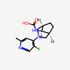 Cc1cc(N2C[C@H]3CC[C@@H](C2)[C@H]3NC(=O)O)c(F)cn1